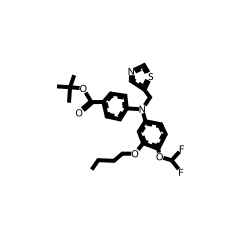 CCCCOc1cc(N(Cc2cncs2)c2ccc(C(=O)OC(C)(C)C)cc2)ccc1OC(F)F